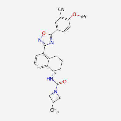 CC1CN(C(=O)N[C@H]2CCCc3c(-c4noc(-c5ccc(OC(C)C)c(C#N)c5)n4)cccc32)C1